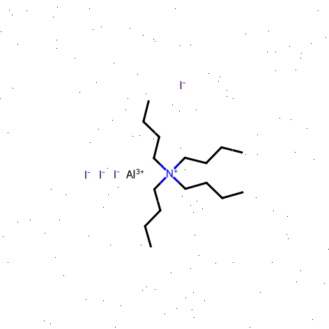 CCCC[N+](CCCC)(CCCC)CCCC.[Al+3].[I-].[I-].[I-].[I-]